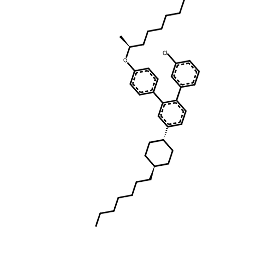 CCCCCCC[C@H]1CC[C@H](c2ccc(-c3cccc(Cl)c3)c(-c3ccc(O[C@@H](C)CCCCCC)cc3)c2)CC1